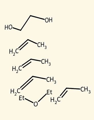 C=CC.C=CC.C=CC.C=CC.CCOCC.OCCO